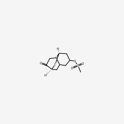 CS(=O)(=O)OC1CC2C[C@@H]3C[C@H](C1)N2CC3=O